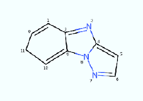 C1=Cc2nc3ccnn3c2=CC1